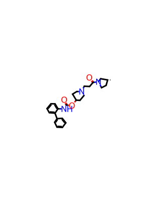 O=C(Nc1ccccc1-c1ccccc1)OC1CCN(CCC(=O)N2C[CH]CC2)CC1